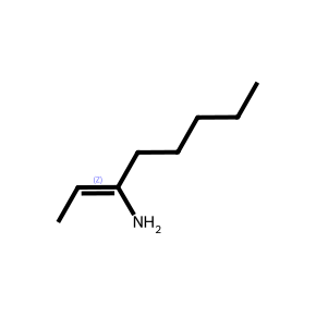 C/C=C(\N)CCCCC